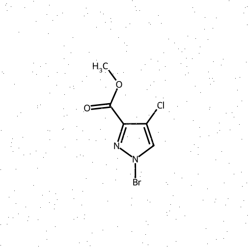 COC(=O)c1nn(Br)cc1Cl